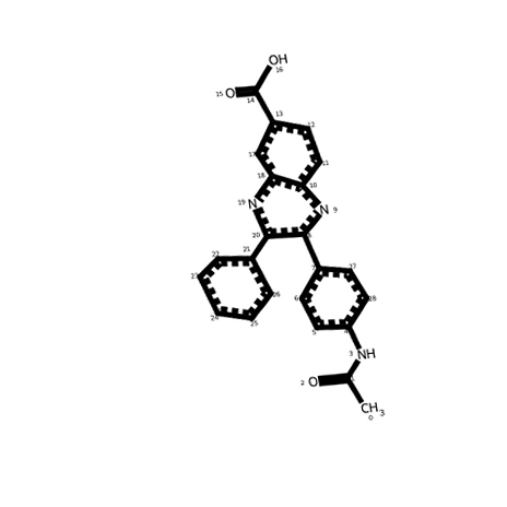 CC(=O)Nc1ccc(-c2nc3ccc(C(=O)O)cc3nc2-c2ccccc2)cc1